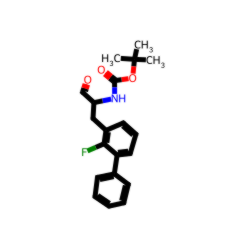 CC(C)(C)OC(=O)NC(C=O)Cc1cccc(-c2ccccc2)c1F